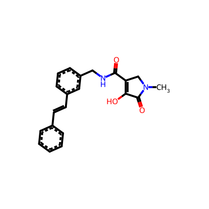 CN1CC(C(=O)NCc2cccc(/C=C/c3ccccc3)c2)=C(O)C1=O